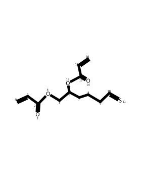 C=CC(=O)OCC(CCCC=S)OC(=O)C=C